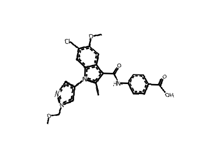 COCn1cc(-n2c(C)c(C(=O)Nc3ccc(C(=O)O)cc3)c3cc(OC)c(Cl)cc32)cn1